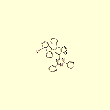 N#Cc1cccc2c1-c1ccccc1C21c2ccccc2-c2c1cc(-c1nc(-c3ccccc3)nc(-c3ccccc3)n1)c1occc21